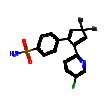 CCC1(CC)C=C(c2ccc(S(N)(=O)=O)cc2)C(c2ccc(F)cn2)=C1